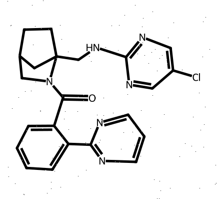 O=C(c1ccccc1-c1ncccn1)N1CC2CCC1(CNc1ncc(Cl)cn1)C2